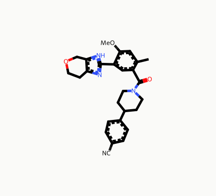 COc1cc(C)c(C(=O)N2CCC(c3ccc(C#N)cc3)CC2)cc1-c1nc2c([nH]1)COCC2